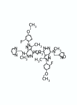 CCOc1ccc(-n2nc3c(N(C)Cc4ccon4)nnc(C)c3c2C)c(F)c1.CCOc1ccc(-n2nc3c(N(C)Cc4ncccn4)nnc(C)c3c2C)c(F)c1